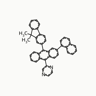 CC1(C)c2ccccc2-c2ccc(-c3c4ccccc4c(-c4cnccn4)c4ccc(-c5cccc6ccccc56)cc34)cc21